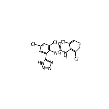 O=C(Nc1c(Cl)cccc1Cl)Nc1c(Cl)cc(Cl)cc1-c1nnn[nH]1